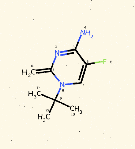 C=C1N=C(N)C(F)=CN1C(C)(C)C